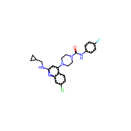 O=C(Nc1ccc(F)cc1)N1CCN(c2cc(NCC3CC3)nc3cc(Cl)ccc23)CC1